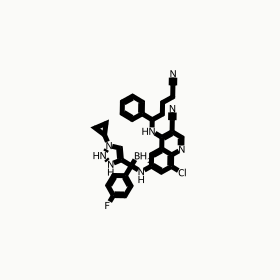 BC(Nc1cc(Cl)c2ncc(C#N)c(NC(CCCC#N)c3ccccc3)c2c1)(C1=CN(C2CC2)NN1)c1ccc(F)cc1